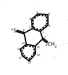 C=C1c2ccccc2C(=S)c2ccccc21